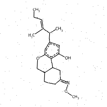 CC/C=C(\C)C(C)c1cc(O)c2c(c1)OCC1CC/C(=N\OC)CC21